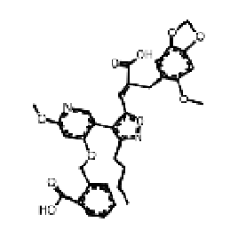 CCCCc1noc(/C=C(\Cc2cc3c(cc2OC)OCO3)C(=O)O)c1-c1cnc(OC)cc1OCc1ccccc1C(=O)O